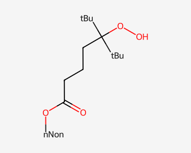 CCCCCCCCCOC(=O)CCCC(OO)(C(C)(C)C)C(C)(C)C